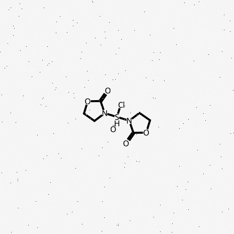 O=C1OCCN1[SH](=O)(Cl)N1CCOC1=O